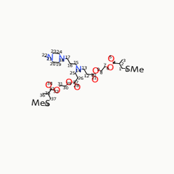 CSCC(C)C(=O)OCCOC(=O)CCN(CCCN1CCN(C)CC1)CCC(=O)OCCOC(=O)C(C)CSC